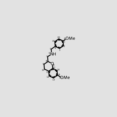 COc1ccc(CNCC2CCc3ccc(OC)cc3O2)cc1